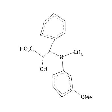 COc1cccc(N(C)C(c2ccccc2)C(O)C(=O)O)c1